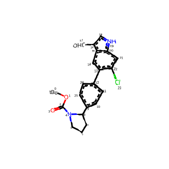 CC(C)(C)OC(=O)N1CCCC1c1ccc(-c2cc3c(C=O)c[nH]c3cc2Cl)cc1